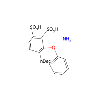 CCCCCCCCCCc1ccc(S(=O)(=O)O)c(S(=O)(=O)O)c1Oc1ccccc1.N